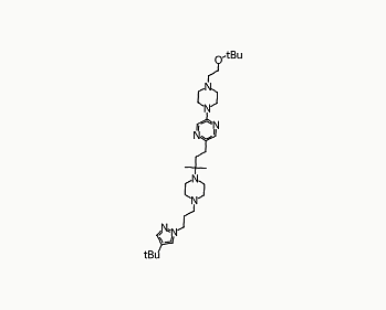 CC(C)(C)OCCN1CCN(c2cnc(CCC(C)(C)N3CCN(CCCn4cc(C(C)(C)C)cn4)CC3)cn2)CC1